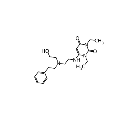 CCn1c(NCCN(CCO)CCc2ccccc2)cc(=O)n(CC)c1=O